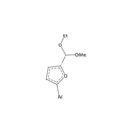 CCOC(OC)c1ccc(C(C)=O)o1